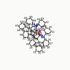 O=P(c1ccccc1)(c1ccccc1N1c2ccccc2C(c2ccccc2)(c2ccccc2)c2ccccc21)c1ccccc1N1c2ccccc2C(c2ccccc2)(c2ccccc2)c2ccccc21